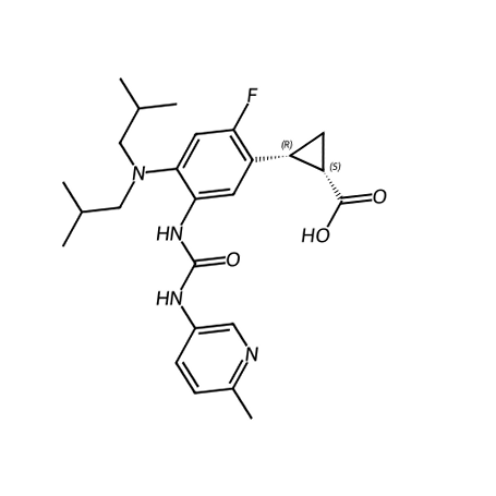 Cc1ccc(NC(=O)Nc2cc([C@@H]3C[C@@H]3C(=O)O)c(F)cc2N(CC(C)C)CC(C)C)cn1